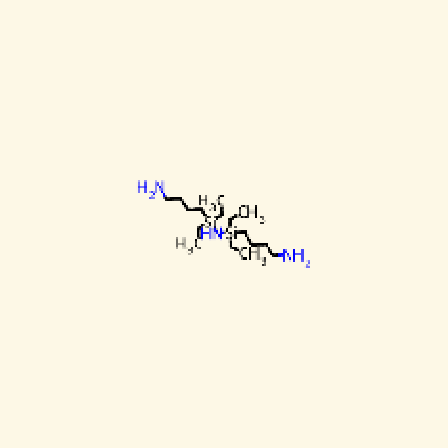 CC[Si](CC)(CCCCN)N[Si](CC)(CC)CCCCN